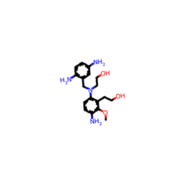 COc1c(N)ccc(N(CCO)Cc2cc(N)ccc2N)c1CCO